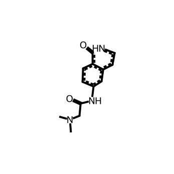 CN(C)CC(=O)Nc1ccc2c(=O)[nH]ccc2c1